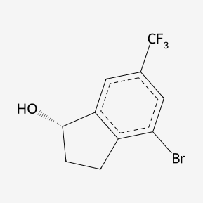 O[C@H]1CCc2c(Br)cc(C(F)(F)F)cc21